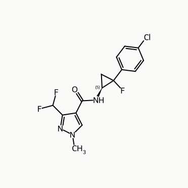 Cn1cc(C(=O)N[C@H]2CC2(F)c2ccc(Cl)cc2)c(C(F)F)n1